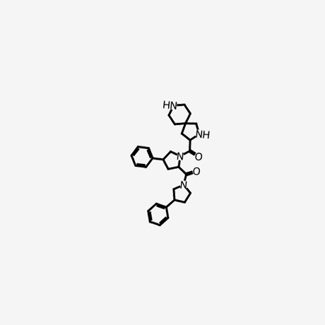 O=C(C1CC(c2ccccc2)CN1C(=O)C1CC2(CCNCC2)CN1)N1CCC(c2ccccc2)C1